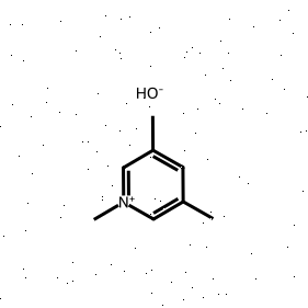 Cc1cc(C)c[n+](C)c1.[OH-]